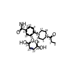 CCC(=O)N1CCN(c2ccc(C(N)=O)cc2)CC1.O=C(O)/C=C\C(=O)O